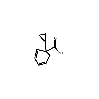 NC(=O)C1(C2CC2)C=CC=CC1